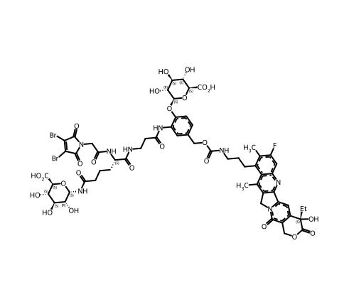 CC[C@@]1(O)C(=O)OCc2c1cc1n(c2=O)Cc2c-1nc1cc(F)c(C)c(CCCNC(=O)OCc3ccc(O[C@@H]4O[C@H](C(=O)O)[C@@H](O)[C@H](O)[C@H]4O)c(NC(=O)CCNC(=O)[C@H](CCCC(=O)N[C@H]4O[C@H](C(=O)O)[C@@H](O)[C@H](O)[C@H]4O)NC(=O)CN4C(=O)C(Br)=C(Br)C4=O)c3)c1c2C